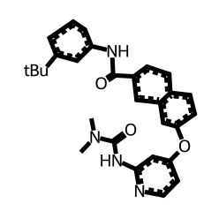 CN(C)C(=O)Nc1cc(Oc2ccc3ccc(C(=O)Nc4cccc(C(C)(C)C)c4)cc3c2)ccn1